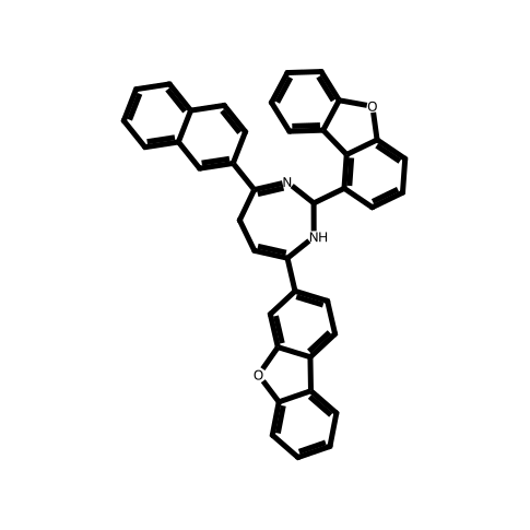 C1=C(c2ccc3c(c2)oc2ccccc23)NC(c2cccc3oc4ccccc4c23)N=C(c2ccc3ccccc3c2)C1